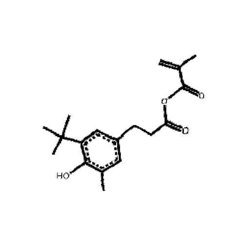 C=C(C)C(=O)OC(=O)CCc1cc(C)c(O)c(C(C)(C)C)c1